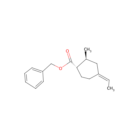 CC=C1CC[C@H](C(=O)OCc2ccccc2)[C@@H](C)C1